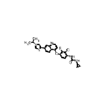 CC(C)n1cnc(-c2ccc3c(Oc4ccc(NC(=O)NC5CC5)c(Cl)c4F)ccnc3c2)c1